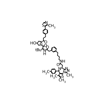 Cc1ccc(C2=NC(CC(=O)NCCCCc3cccc(CC(=O)N[C@H](C(=O)N4CC(O)C[C@H]4C(=O)CCc4ccc(-c5scnc5C)cc4)C(C)(C)C)c3)c3nnc(C)n3-c3sc(C)c(C)c32)cc1